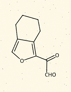 O=CC(=O)c1occ2c1CCCC2